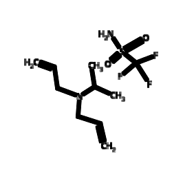 C=CCN(CC=C)C(C)C.NS(=O)(=O)C(F)(F)F